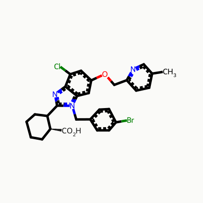 Cc1ccc(COc2cc(Cl)c3nc(C4CCCC[C@@H]4C(=O)O)n(Cc4ccc(Br)cc4)c3c2)nc1